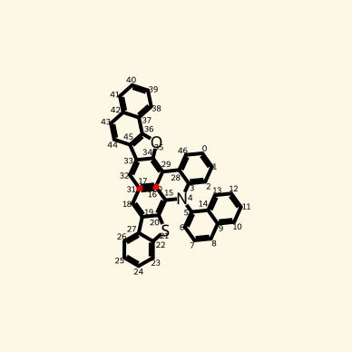 c1ccc(N(c2cccc3ccccc23)c2cccc3c2sc2ccccc23)c(-c2cccc3c2oc2c4ccccc4ccc32)c1